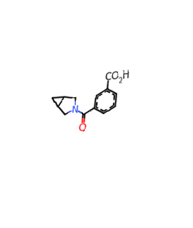 O=C(O)c1cccc(C(=O)N2CC3CC3C2)c1